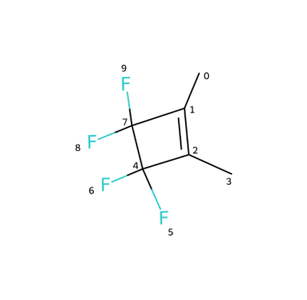 CC1=C(C)C(F)(F)C1(F)F